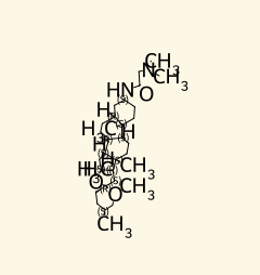 C[C@H]1CC[C@@]2(OC1)O[C@H]1C[C@H]3[C@@H]4CC[C@@H]5C[C@@H](NC(=O)CN(C)C)CC[C@]5(C)[C@H]4CC[C@]3(C)[C@@]1(C)[C@@H]2C